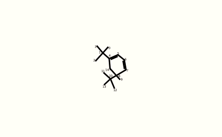 CC(C)(C)C1=CC=CC(C)(C(C)(C)C)[CH]1